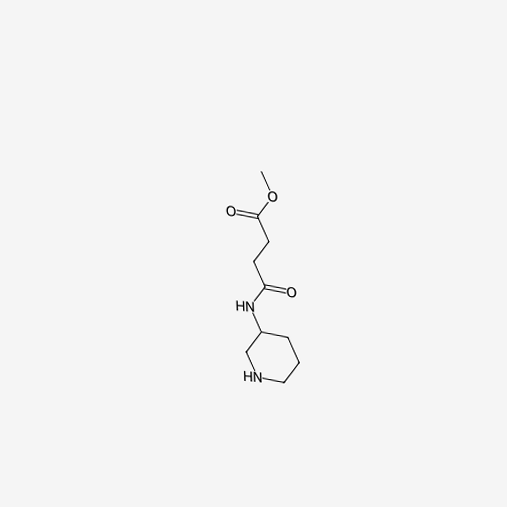 COC(=O)CCC(=O)NC1CCCNC1